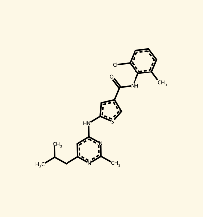 Cc1nc(CC(C)C)cc(Nc2cc(C(=O)Nc3c(C)cccc3Cl)cs2)n1